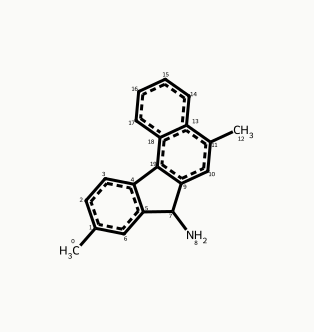 Cc1ccc2c(c1)C(N)c1cc(C)c3ccccc3c1-2